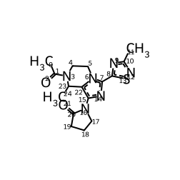 CC(=O)N1CCn2c(-c3nc(C)ns3)nc(N3CCCC3=O)c2C1C